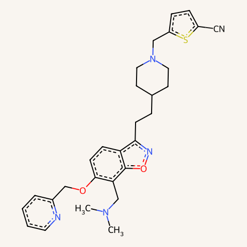 CN(C)Cc1c(OCc2ccccn2)ccc2c(CCC3CCN(Cc4ccc(C#N)s4)CC3)noc12